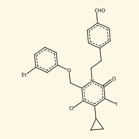 CCc1cccc(OCc2c(Cl)c(C3CC3)c(I)c(=O)n2CCc2ccc(C=O)cc2)c1